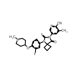 Cc1cc(N2C(=O)C3(CCC3)N(c3ccc(OC4CCN(C)CC4)c(F)c3)C2=S)cnc1C#N